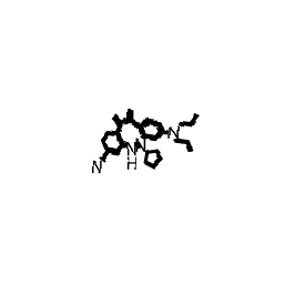 C=c1c2c([nH]n(C3CCCC3)c3cc(N(CCC)CCC)ccc3c1=C)C=C(C#N)CC2